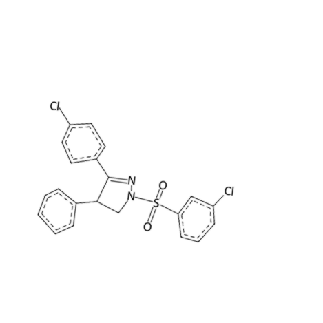 O=S(=O)(c1cccc(Cl)c1)N1CC(c2ccccc2)C(c2ccc(Cl)cc2)=N1